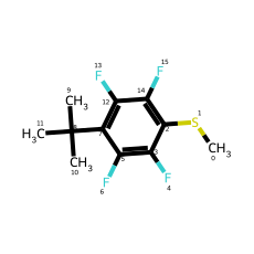 CSc1c(F)c(F)c(C(C)(C)C)c(F)c1F